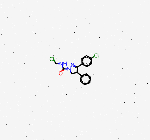 O=C(NCCl)N1CC(c2ccccc2)C(c2ccc(Cl)cc2)=N1